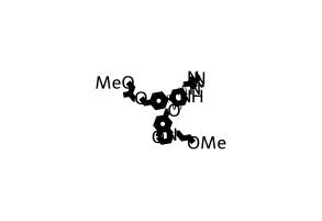 COCCCN1CCOc2ccc(CO[C@H]3CN[C@@H](Cc4nncn4C)C[C@@H]3c3ccc(COCC(C)COC)cc3)cc21